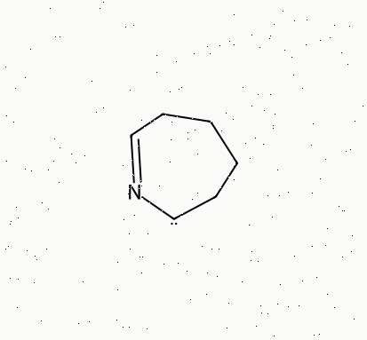 [C]1CCCCC=N1